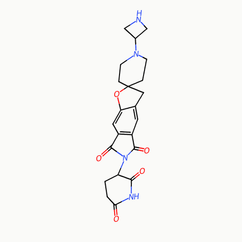 O=C1CCC(N2C(=O)c3cc4c(cc3C2=O)OC2(CCN(C3CNC3)CC2)C4)C(=O)N1